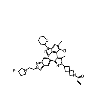 C=CC(=O)N1CC2(CC(n3nc(-c4ccc5nn(CCN6CC[C@H](F)C6)cc5c4)c(-c4c(Cl)c(C)cc5c4cnn5C4CCCCO4)c3C)C2)C1